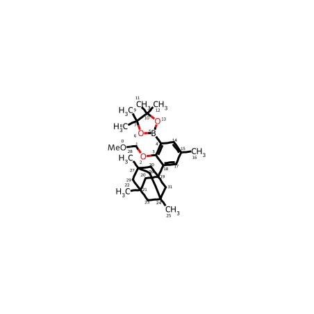 COCOc1c(B2OC(C)(C)C(C)(C)O2)cc(C)cc1C12CC3(C)CC(C)(CC(C)(C3)C1)C2